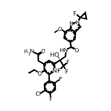 CCOc1c(CC(N)=O)cc([C@@](O)(CNC(=O)c2cc(OC)c3nn(C4(F)CC4)cc3c2)C(F)(F)F)nc1-c1cc(Cl)c(F)cc1F